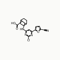 N#Cc1ccc(-c2cc(NC3C4CCC(CC4)C3C(=O)O)nc(Cl)n2)o1